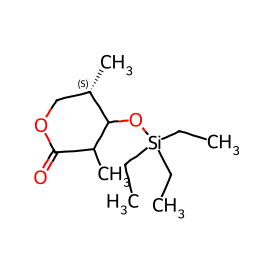 CC[Si](CC)(CC)OC1C(C)C(=O)OC[C@@H]1C